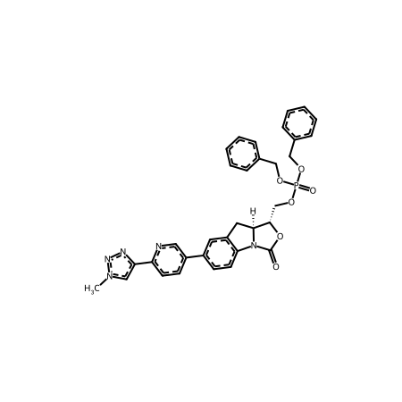 Cn1cc(-c2ccc(-c3ccc4c(c3)C[C@H]3[C@H](COP(=O)(OCc5ccccc5)OCc5ccccc5)OC(=O)N43)cn2)nn1